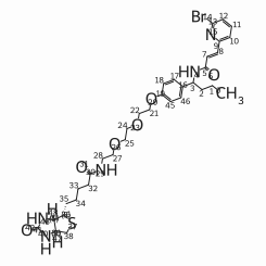 CCCC(NC(=O)C=Cc1cccc(Br)n1)c1ccc(OCCOCCOCCNC(=O)CCCC[C@@H]2SC[C@@H]3NC(=O)N[C@@H]32)cc1